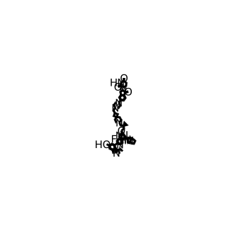 CCn1ncc2cc(O)cc(-c3ncc4c(N5CC6CCC(C5)N6)nc(OCC5(CN6CCC7(CC6)CC(CN6CCN(c8ccc9c(c8)CN([C@H]8CCC(=O)NC8=O)C9=O)CC6)C7)CC5)nc4c3F)c21